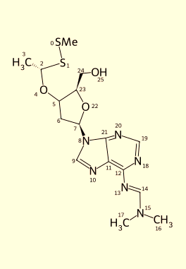 CSS[C@@H](C)OC1C[C@H](n2cnc3c(/N=C/N(C)C)ncnc32)O[C@@H]1CO